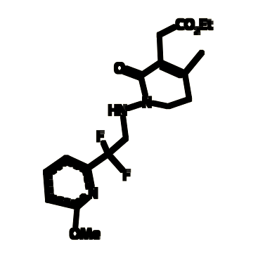 CCOC(=O)CC1=C(C)CCN(NCC(F)(F)c2cccc(OC)n2)C1=O